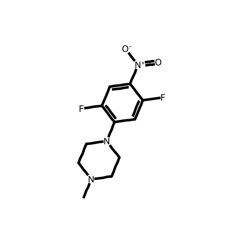 CN1CCN(c2cc(F)c([N+](=O)[O-])cc2F)CC1